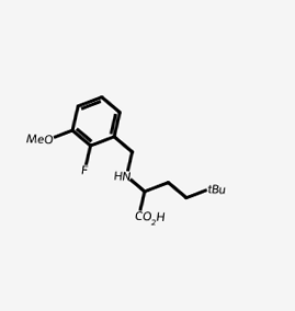 COc1cccc(CNC(CCC(C)(C)C)C(=O)O)c1F